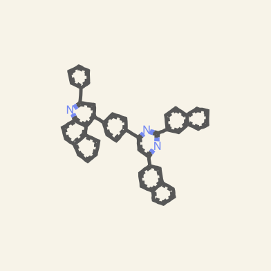 c1ccc(-c2cc(-c3ccc(-c4cc(-c5ccc6ccccc6c5)nc(-c5ccc6ccccc6c5)n4)cc3)c3c(ccc4ccccc43)n2)cc1